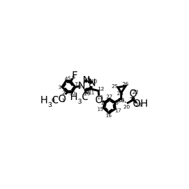 COc1ccc(F)c(-n2nnc(COc3cccc([C@@H](CC(=O)O)C4CC4)c3)c2C)c1